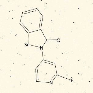 O=c1c2ccccc2[se]n1-c1ccnc(F)c1